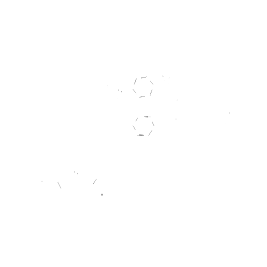 CCCCC1(CCCC)CS(=O)(=O)c2ccc(N(C)C)cc2C(c2ccc(OCCCCCN(CC(=O)O)CC(=O)O)cc2)C1O